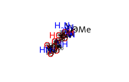 COc1nc(N)nc2c1ncn2[C@@H]1O[C@H](CO[P@](=O)(N[C@@H](C)C(=O)OC(C)C)SC[C@@H]2C(=O)NC(=O)N2C)[C@@H](O)[C@@]1(C)O